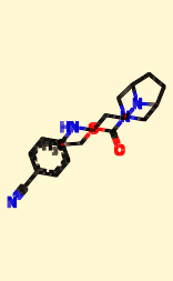 CCOC(=O)N1CC2CCC(C1)N2CCCNc1ccc(C#N)cc1